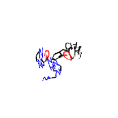 CC1(C)Cc2cc(NC(=O)c3cnn4cccnc34)c(N3CCN(CC#N)CC3)cc2O1